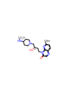 COc1ccc2ncc(=O)n(CC[C@@H](O)CN3CCC(NC(=O)O)CC3)c2n1